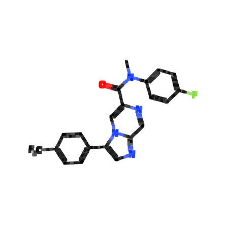 CN(C(=O)c1cn2c(-c3ccc(C(F)(F)F)cc3)cnc2cn1)c1ccc(F)cc1